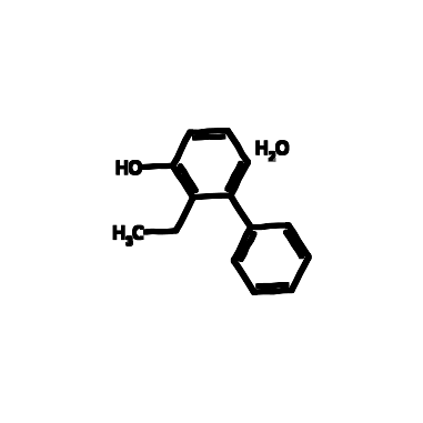 CCc1c(O)cccc1-c1ccccc1.O